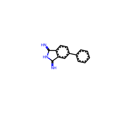 N=C1NC(=N)c2cc(-c3ccccc3)ccc21